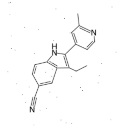 CCc1c(-c2ccnc(C)c2)[nH]c2ccc(C#N)cc12